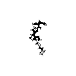 CC(n1cc(-c2ncnc3c2ccn3COCC[Si](C)(C)C)cn1)C1(C#N)CC1C#N